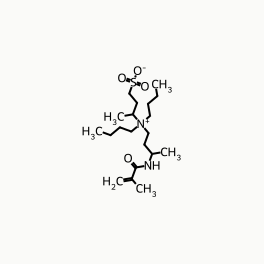 C=C(C)C(=O)NC(C)CC[N+](CCCC)(CCCC)C(C)CCS(=O)(=O)[O-]